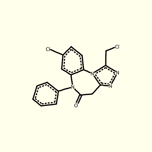 O=C1Cc2nnc(CCl)n2-c2ccc(Cl)cc2N1c1ccccc1